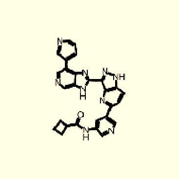 O=C(Nc1cncc(-c2ccc3[nH]nc(-c4nc5c(-c6cccnc6)cncc5[nH]4)c3n2)c1)C1CCC1